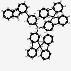 c1ccc2c(c1)-c1ccccc1C21c2ccccc2-c2ccc(N(c3ccc(-c4cccc5c4sc4ccccc45)cc3)c3ccc4c(c3)C3(c5ccccc5-c5ccccc53)c3ccccc3-4)cc21